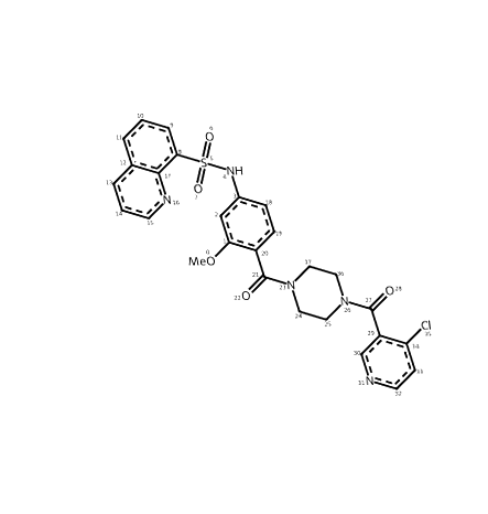 COc1cc(NS(=O)(=O)c2cccc3cccnc23)ccc1C(=O)N1CCN(C(=O)c2cnccc2Cl)CC1